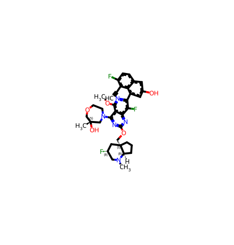 C#Cc1c(F)ccc2cc(O)cc(-c3nc(OC)c4c(N5CCOC[C@@](C)(O)C5)nc(OC[C@]56CCC[C@H]5N(C)C[C@H](F)C6)nc4c3F)c12